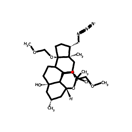 COCO[C@@H]1C[C@]2(C)[C@@H](CN=[N+]=[N-])CC[C@]2(OCOC)C2CC[C@]3(O)C[C@@H](C)C[C@H]4OC(C)(C)OC[C@]43C21